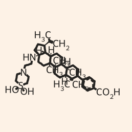 C=C(C)[C@@H]1CC[C@]2(NCCN3CCS(O)(O)CC3)CC[C@]3(C)[C@H](CC[C@@H]4[C@@]5(C)CC=C(c6ccc(C(=O)O)cc6)C(C)(C)[C@@H]5CC[C@]43C)[C@@H]12